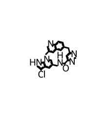 Cc1cnc2ccc(Cc3cc(C(=O)NCc4cnc5[nH]cc(Cl)c5c4)ncn3)cc2c1